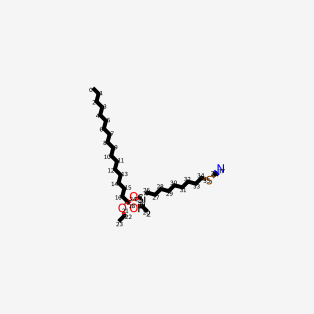 CCCCCCCCCCCCCCCCCC(OCC)(OCC)O[SiH2]CCCCCCCCCSC#N